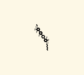 CCCCCCOc1ccc(C2CCC(c3ccc(-c4ccc(OCC)c(F)c4F)cc3F)CC2)c(F)c1F